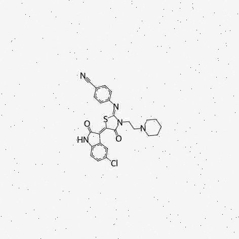 N#Cc1ccc(/N=C2\S/C(=C3\C(=O)Nc4ccc(Cl)cc43)C(=O)N2CCN2CCCCC2)cc1